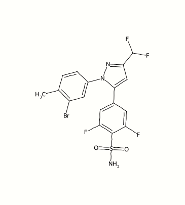 Cc1ccc(-n2nc(C(F)F)cc2-c2cc(F)c(S(N)(=O)=O)c(F)c2)cc1Br